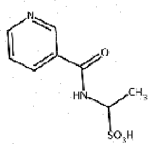 CC(NC(=O)c1cccnc1)S(=O)(=O)O